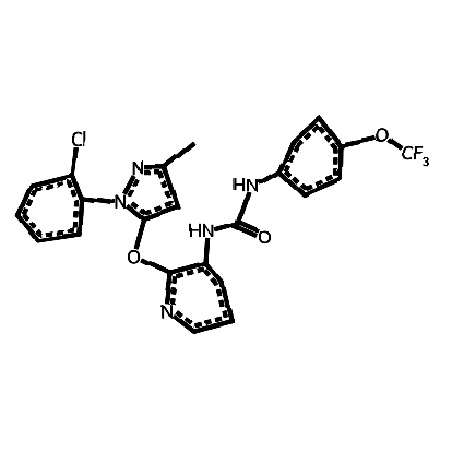 Cc1cc(Oc2ncccc2NC(=O)Nc2ccc(OC(F)(F)F)cc2)n(-c2ccccc2Cl)n1